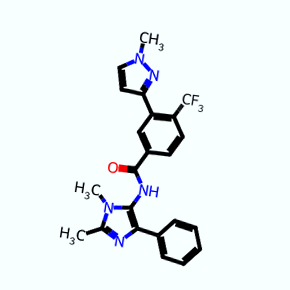 Cc1nc(-c2ccccc2)c(NC(=O)c2ccc(C(F)(F)F)c(-c3ccn(C)n3)c2)n1C